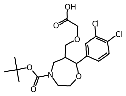 CC(C)(C)OC(=O)N1CCOC(c2ccc(Cl)c(Cl)c2)C(COCC(=O)O)C1